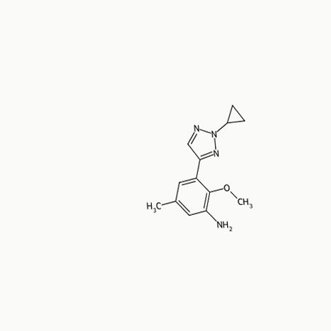 COc1c(N)cc(C)cc1-c1cnn(C2CC2)n1